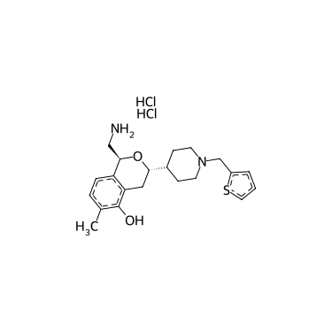 Cc1ccc2c(c1O)C[C@@H](C1CCN(Cc3cccs3)CC1)O[C@@H]2CN.Cl.Cl